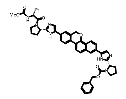 COC(=O)N[C@H](C(=O)N1CCC[C@H]1c1ncc(-c2ccc3c(c2)COc2c-3ccc3cc(-c4cnc([C@@H]5CCCN5C(=O)OCc5ccccc5)[nH]4)ccc23)[nH]1)C(C)C